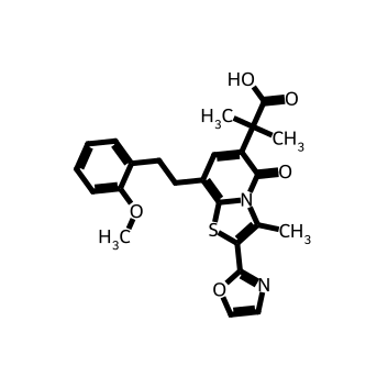 COc1ccccc1CCc1cc(C(C)(C)C(=O)O)c(=O)n2c(C)c(-c3ncco3)sc12